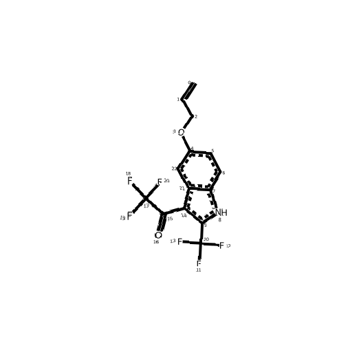 C=CCOc1ccc2[nH]c(C(F)(F)F)c(C(=O)C(F)(F)F)c2c1